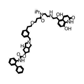 CC(C)N(CCNC[C@H](O)c1ccc(O)c2[nH]c(=O)ccc12)C(=O)CCOCCc1cccc(CN2CC3CC(OC(=O)Nc4ccccc4-c4ccccc4)C[C@H]3C2)c1